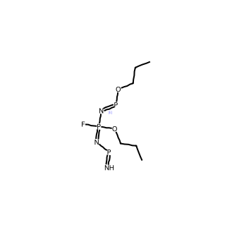 CCCO/P=N/P(F)(=NP=N)OCCC